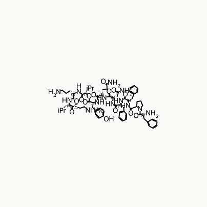 CC(=O)NCCSC(=O)[C@H](CC(C)C)NC(=O)[C@H](CCCN)NC(=O)[C@@H](OC(=O)[C@H](Cc1ccc(O)cc1)NC(=O)[C@H](CCC(N)=O)NC(=O)[C@H](CC(N)=O)NC(=O)[C@@H](Cc1ccccc1)NC(=O)[C@H](Cc1ccccc1)NC(=O)C1CCCN1C(=O)[C@H](N)Cc1ccccc1)C(C)C